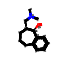 CN(C)C[C@H]1CCCc2ccccc2[C@H]1O